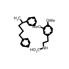 CC(CCCc1ccccc1)c1ccccc1.COc1ccc(CCNC(=O)O)cc1OC